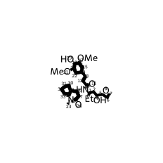 CCC(CC(O)C1CCO1)NC(=O)C=Cc1cc(OC)c(O)c(OC)c1.Cn1c(=O)ccc2ccccc21